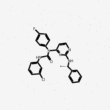 C[C@H](Nc1nccc(N(C(=O)Nc2cccc(Cl)c2)c2ccc(F)cc2)n1)c1ccccc1